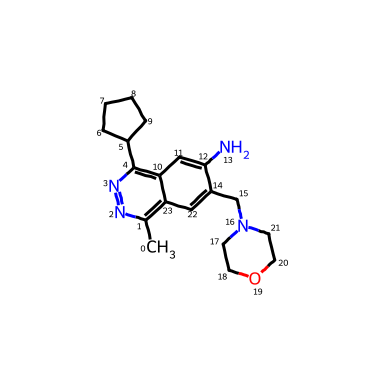 Cc1nnc(C2CCCC2)c2cc(N)c(CN3CCOCC3)cc12